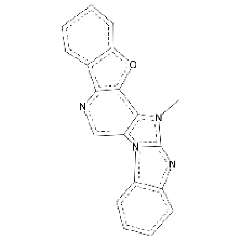 Cn1c2c3oc4ccccc4c3ncc2n2c3ccccc3nc12